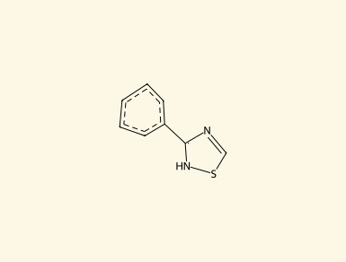 C1=N[C](c2ccccc2)NS1